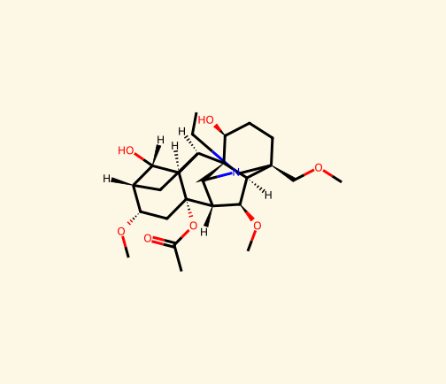 CCN1C[C@]2(COC)CC[C@H](O)[C@]34C1[C@H]([C@H](OC)[C@H]23)[C@@]1(OC(C)=O)C[C@H](OC)[C@H]2C[C@@H]4[C@@H]1[C@H]2O